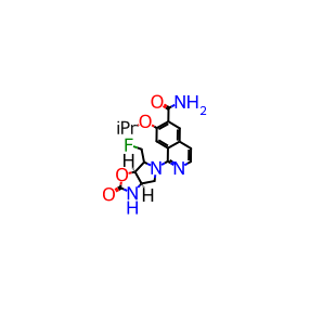 CC(C)Oc1cc2c(N3C[C@H]4NC(=O)O[C@H]4C3CF)nccc2cc1C(N)=O